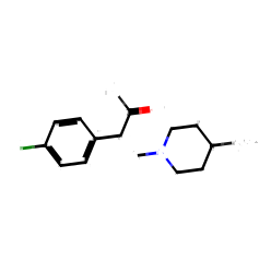 CNC1CCN(C[C@@H](C(=O)C(C)C)c2ccc(Cl)cc2)CC1